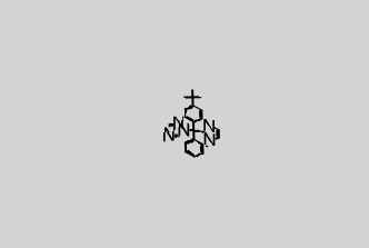 Cn1ccnc1C(c1ccccc1)(c1ccc(C(C)(C)C)cc1)n1cncn1